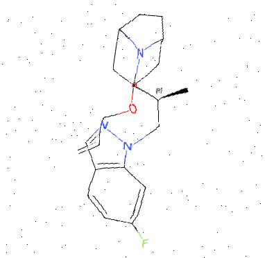 C=CCOC1CC2CCC(C1)N2C[C@@H](C)Cn1ncc2ccc(F)cc21